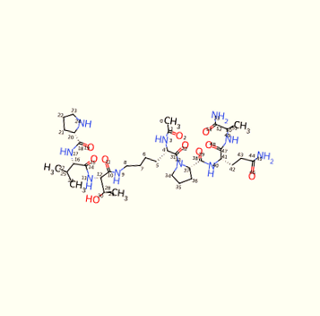 CC(=O)N[C@@H](CCCCNC(=O)[C@@H](NC(=O)[C@@H](NC(=O)[C@@H]1CCCN1)C(C)C)[C@@H](C)O)C(=O)N1CCC[C@H]1C(=O)N[C@@H](CCC(N)=O)C(=O)N[C@H](C)C(N)=O